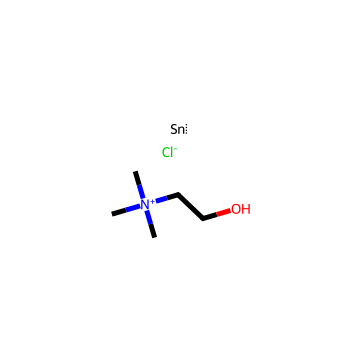 C[N+](C)(C)CCO.[Cl-].[Sn]